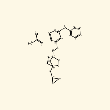 O=C(O)O.c1ccc(Oc2cccc(COC34CCC(CC5CC5)(CC3)C4)c2)cc1